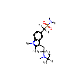 [2H]c1c(CC([2H])([2H])N(C)C([2H])([2H])[2H])c2cc(C([2H])([2H])S(=O)(=O)N([2H])C)ccc2n1[2H]